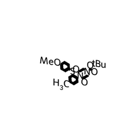 COc1ccc(Sc2cc(C)ccc2N2C(=O)CN(C(=O)OC(C)(C)C)CC2=O)cc1